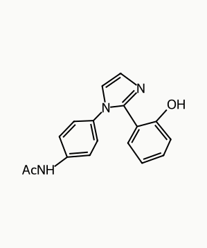 CC(=O)Nc1ccc(-n2ccnc2-c2ccccc2O)cc1